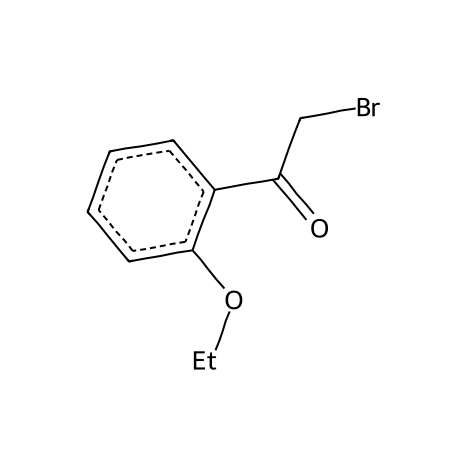 CCOc1ccccc1C(=O)CBr